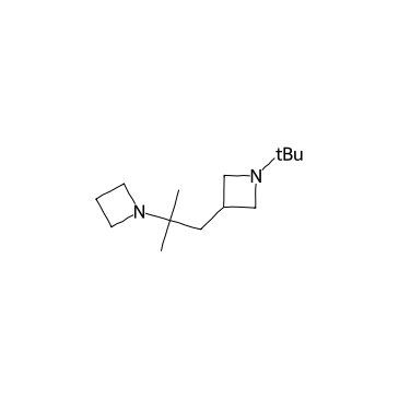 CC(C)(C)N1CC(CC(C)(C)N2CCC2)C1